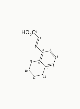 O=C(O)C=Cc1cccc2c1CCCC2